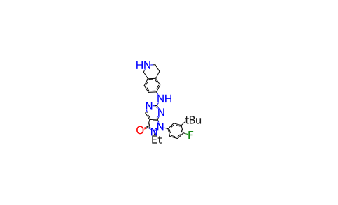 CCn1c(=O)c2cnc(Nc3ccc4c(c3)CCNC4)nc2n1-c1ccc(F)c(C(C)(C)C)c1